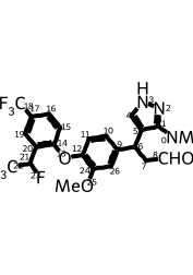 CNc1n[nH]cc1C(CC=O)c1ccc(Oc2ccc(C(F)(F)F)cc2C(C)F)c(OC)c1